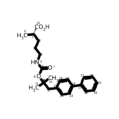 C[C@@H](CCCNC(=O)OC(C)(C)Cc1ccc(-c2ccccc2)cc1)C(=O)O